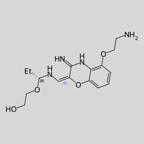 CC[C@H](N/C=C1/Oc2cccc(OCCN)c2NC1=N)OCCO